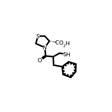 O=C(O)[C@H]1CSCN1C(=O)C(CS)Cc1ccccc1